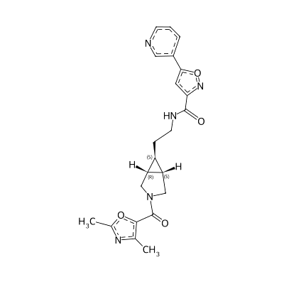 Cc1nc(C)c(C(=O)N2C[C@@H]3[C@@H](CCNC(=O)c4cc(-c5cccnc5)on4)[C@@H]3C2)o1